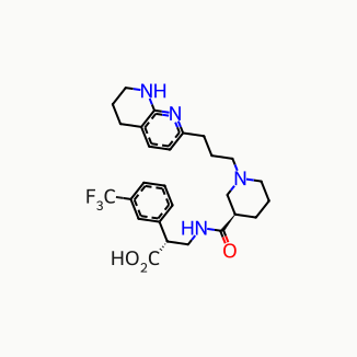 O=C(NC[C@H](C(=O)O)c1cccc(C(F)(F)F)c1)[C@@H]1CCCN(CCCc2ccc3c(n2)NCCC3)C1